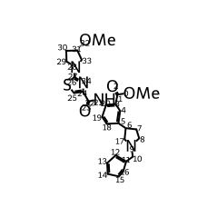 COC(=O)c1cc(C2CCN(Cc3ccccc3)C2)ccc1NC(=O)c1csc(N2CC[C@H](OC)C2)n1